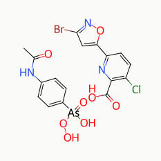 CC(=O)Nc1ccc([As](=O)(O)OO)cc1.O=C(O)c1nc(-c2cc(Br)no2)ccc1Cl